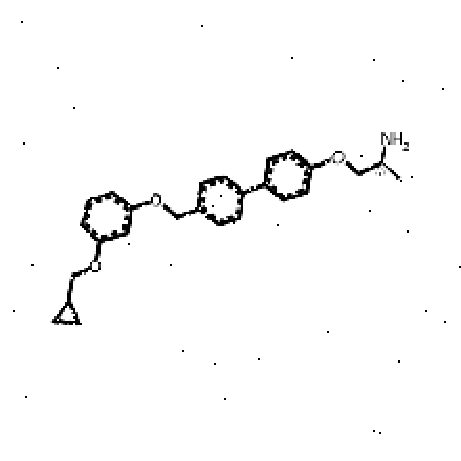 C[C@H](N)COc1ccc(-c2ccc(COc3cccc(OCC4CC4)c3)cc2)cc1